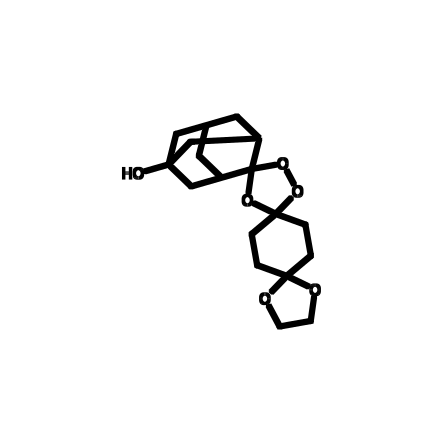 OC12CC3CC(C1)C1(OOC4(CCC5(CC4)OCCO5)O1)C(C3)C2